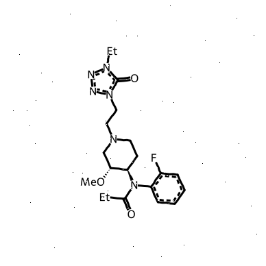 CCC(=O)N(c1ccccc1F)[C@@H]1CCN(CCn2nnn(CC)c2=O)C[C@H]1OC